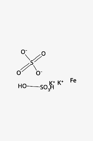 O=S(=O)(O)O.O=S(=O)([O-])[O-].[Fe].[K+].[K+]